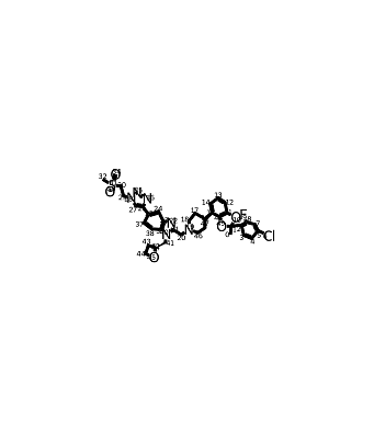 CC1(c2ccc(Cl)cc2F)Oc2cccc(C3CCN(Cc4nc5cc(-c6cn(CCS(C)(=O)=O)nn6)ccc5n4C[C@@H]4CCO4)CC3)c2O1